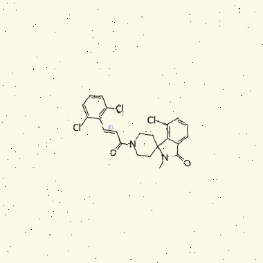 CN1C(=O)c2cccc(Cl)c2C12CCN(C(=O)/C=C/c1c(Cl)cccc1Cl)CC2